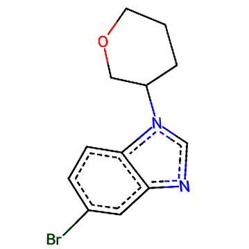 Brc1ccc2c(c1)ncn2C1CCCOC1